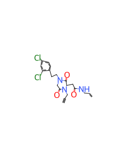 C#CCN1C(=O)CN(CCc2ccc(Cl)cc2Cl)C(=O)C1CC(=O)NCC=C